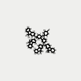 Cc1ccc(-n2c3ccc(N(c4ccc5c(c4)C(C)(C)c4ccccc4-5)c4ccc5c(c4)C(C)(C)c4ccccc4-5)cc3c3cc(N(c4ccc5c(c4)C(C)(C)C4=C5CCC=C4)c4ccc5c(c4)C(C)(C)C4C=CC=CC54)ccc32)cc1